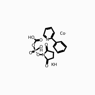 O=C(O)OP(=O)(O)ON1C(=O)CCC1=O.[Co].[KH].c1ccc(-c2ccccn2)cc1